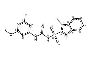 COc1cc(C)nc(NC(=O)NS(=O)(=O)c2[nH]c3ccccc3c2C)n1